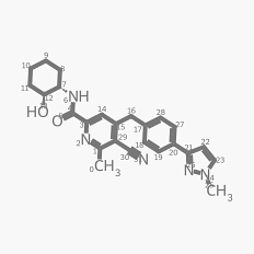 Cc1nc(C(=O)N[C@H]2CCCC[C@@H]2O)cc(Cc2ccc(-c3ccn(C)n3)cc2)c1C#N